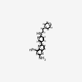 CCCc1nc(N)nc2ccc(-c3ccc(NCCN4CCOCC4)nc3)nc12